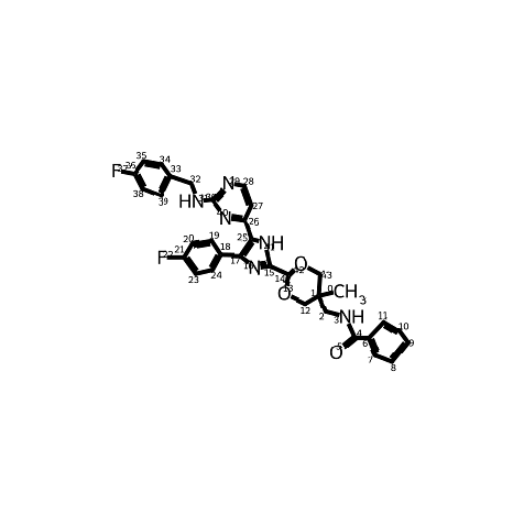 CC1(CNC(=O)c2ccccc2)COC(c2nc(-c3ccc(F)cc3)c(-c3ccnc(NCc4ccc(F)cc4)n3)[nH]2)OC1